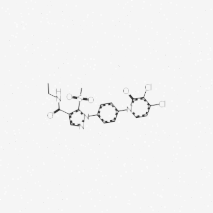 CCNC(=O)c1cnn(-c2ccc(-n3ccc(Cl)c(Cl)c3=O)cc2)c1S(C)(=O)=O